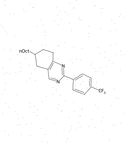 CCCCCCCCC1CCc2nc(-c3ccc(C(F)(F)F)cc3)ncc2C1